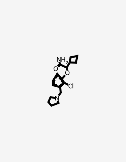 NC(=O)C(Oc1cccc(CN2CCCC2)c1Cl)C1CCC1